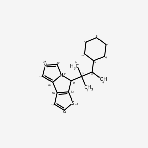 CC(C)(C(O)C1CCCCC1)C1c2sccc2-c2cncn21